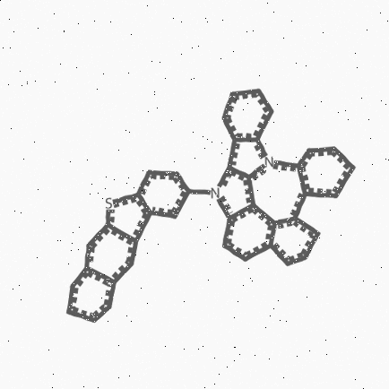 c1ccc2cc3c(cc2c1)sc1ccc(-n2c4ccc5cccc6c7ccccc7n7c8ccccc8c2c7c4c56)cc13